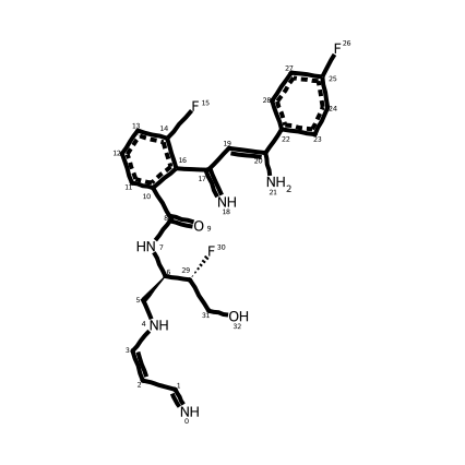 N=C/C=C\NC[C@@H](NC(=O)c1cccc(F)c1C(=N)/C=C(\N)c1ccc(F)cc1)[C@H](F)CO